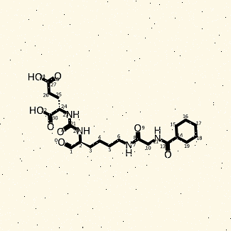 O=C[C@H](CCCCNC(=O)CNC(=O)C1CCCCC1)NC(=O)N[C@@H](CCC(=O)O)C(=O)O